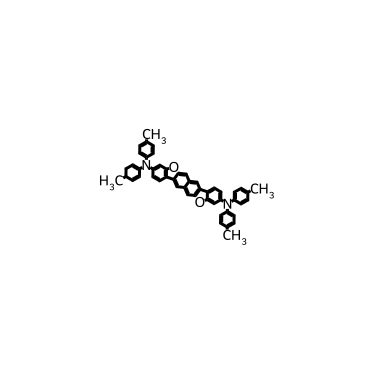 Cc1ccc(N(C2=CCC(C)C=C2)c2ccc3c(c2)oc2cc4cc5c(cc4cc23)oc2cc(N(c3ccc(C)cc3)c3ccc(C)cc3)ccc25)cc1